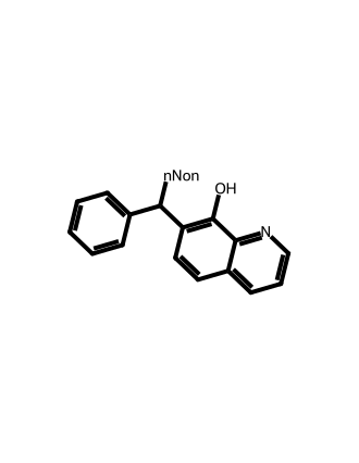 CCCCCCCCCC(c1ccccc1)c1ccc2cccnc2c1O